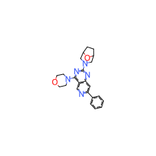 c1ccc(-c2cc3nc(N4CC5CCC(C4)O5)nc(N4CCOCC4)c3cn2)cc1